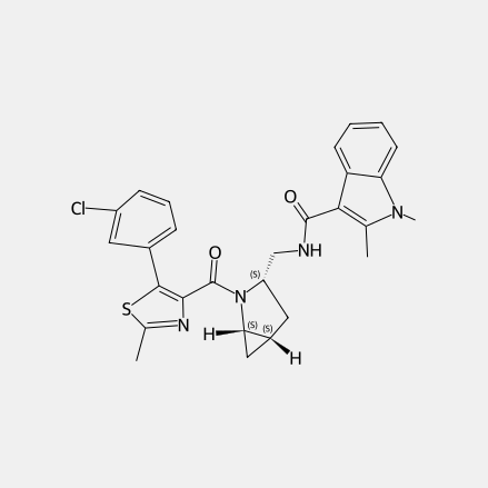 Cc1nc(C(=O)N2[C@H](CNC(=O)c3c(C)n(C)c4ccccc34)C[C@@H]3C[C@@H]32)c(-c2cccc(Cl)c2)s1